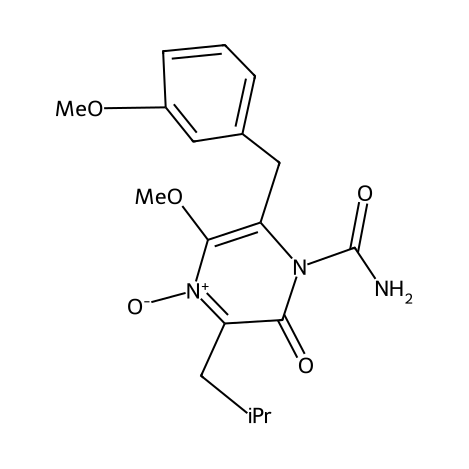 COc1cccc(Cc2c(OC)[n+]([O-])c(CC(C)C)c(=O)n2C(N)=O)c1